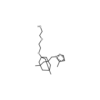 Cc1ccnn1CC12CC3(C)CC(C)(C1)CC(OCCOCCO)(C3)C2